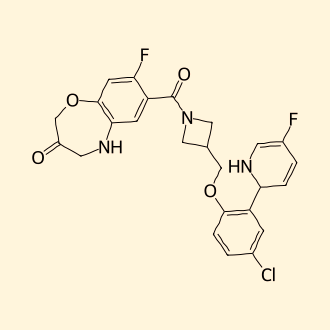 O=C1CNc2cc(C(=O)N3CC(COc4ccc(Cl)cc4C4C=CC(F)=CN4)C3)c(F)cc2OC1